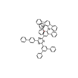 c1ccc(-c2ccc(-c3nc(-c4cc(-c5ccccc5)cc(-c5ccccc5)c4)nc(-c4cc(-c5ccccc5)c(-n5c6ccccc6c6ccc7c8ccccc8n(-c8ccccc8)c7c65)c(-c5ccccc5)c4)n3)cc2)cc1